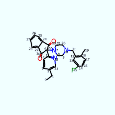 CCc1ccc(C2(N3CCN(Cc4cc(F)ccc4C)CC3)C(=O)c3ccccc3C2=O)nc1